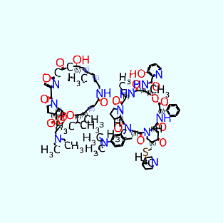 CCN(CC)CCS(=O)(=O)[C@@H]1CCN2C(=O)c3coc(n3)CC(=O)C[C@H](O)/C=C(C)/C=C/CNC(=O)/C=C/[C@@H](C)[C@@H](C(C)C)OC(=O)[C@@H]12.CC[C@H]1NC(=O)[C@@H](NC(=O)c2ncccc2O)[C@@H](C)OC(=O)[C@H](c2ccccc2)NC(=O)[C@@H]2CC(=O)[C@H](CS[C@@H]3CN4CCC3CC4)CN2C(=O)[C@H](Cc2ccc(N(C)C)cc2)N(C)C(=O)[C@@H]2CCCN2C1=O